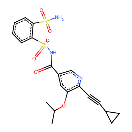 CC(C)Oc1cc(C(=O)NS(=O)(=O)c2ccccc2S(N)(=O)=O)cnc1C#CC1CC1